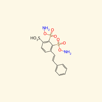 NOS(=O)(=O)c1c(C=Cc2ccccc2)ccc(S(=O)(=O)O)c1S(=O)(=O)ON